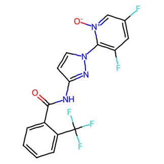 O=C(Nc1ccn(-c2c(F)cc(F)c[n+]2[O-])n1)c1ccccc1C(F)(F)F